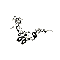 CC[C@@H](C)C([C@H](CC(=O)N1CCC[C@@H]1[C@@H](OC)[C@H](C)C(=O)N[C@H](c1ccccc1)C(NC(=O)OCc1ccc(NC(=O)[C@H](CCCNC(N)=O)NC)cc1)c1ccccc1)OC)N(C)C(=O)[C@H](NC(=O)[C@@H](C(C)C)N(C)C)C(C)C